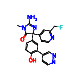 CN1C(=O)C(c2ccnc(CF)c2)(c2ccc(O)c(-c3ccnnc3)c2)N=C1N